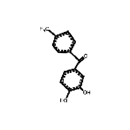 Cc1ccc(C(=O)c2ccc(O)c(O)c2)cc1